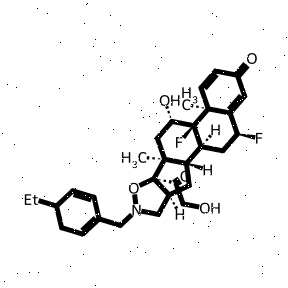 CCC1C=CC(CN2C[C@@H]3C[C@H]4[C@@H]5C[C@H](F)C6=CC(=O)C=C[C@]6(C)[C@@]5(F)[C@@H](O)C[C@]4(C)[C@]3(C(=O)CO)O2)=CC1